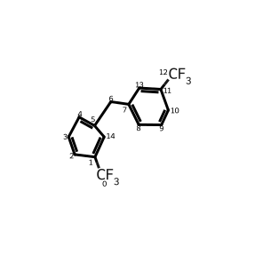 FC(F)(F)c1cccc(Cc2cccc(C(F)(F)F)c2)c1